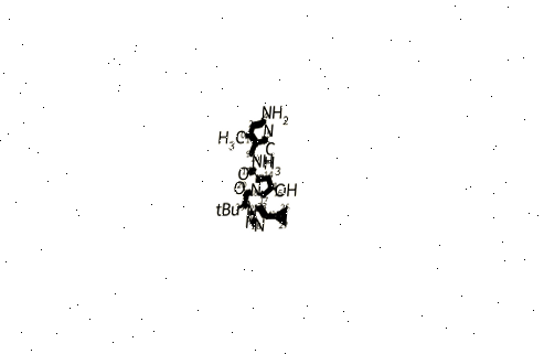 Cc1cc(N)nc(C)c1CNC(=O)[C@@H]1C[C@@H](O)CN1C(=O)[C@@H](n1cc(C2CC2)nn1)C(C)(C)C